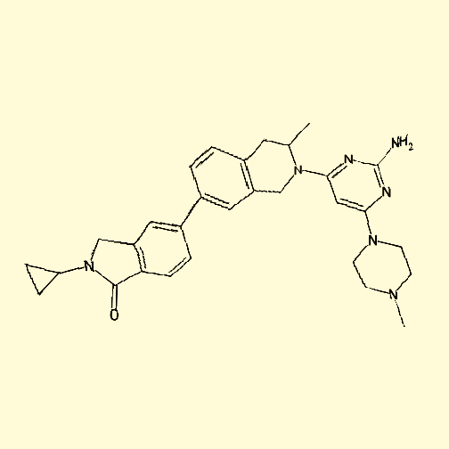 CC1Cc2ccc(-c3ccc4c(c3)CN(C3CC3)C4=O)cc2CN1c1cc(N2CCN(C)CC2)nc(N)n1